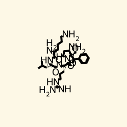 CC(C)C[C@H](NC(=O)[C@@H](N)CCCCN)C(=O)N[C@@H](CCCNC(=N)N)C(=O)N1CCC(N)[C@]1(C=O)C(=O)c1ccccc1